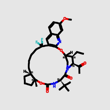 CC[C@@H]1[C@@H]2CN(C(=O)[C@H](C(C)(C)C)NC(=O)O[C@]3(C)CCC[C@H]3CCCCC(F)(F)c3cc4ccc(OC)cc4nc3O2)[C@@H]1C(C)=O